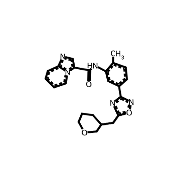 Cc1ccc(-c2noc(CC3CCCOC3)n2)cc1NC(=O)c1cnc2ccccn12